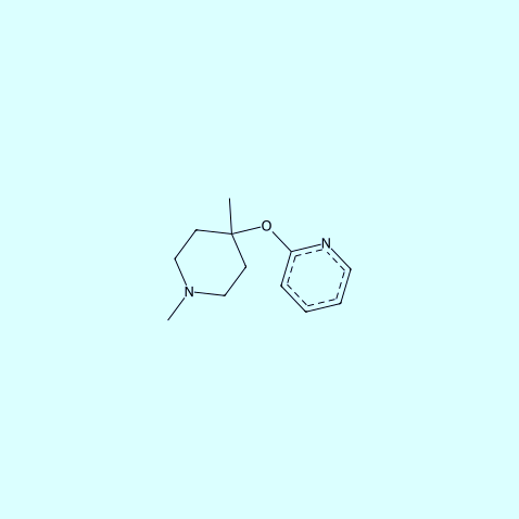 CN1CCC(C)(Oc2ccccn2)CC1